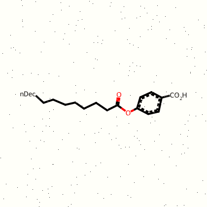 CCCCCCCCCCCCCCCCCC(=O)Oc1ccc(C(=O)O)cc1